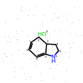 C1=CCC2CCNC2=C1.Cl